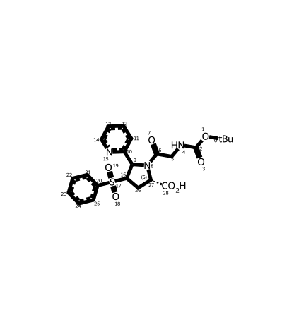 CC(C)(C)OC(=O)NCC(=O)N1C(c2ccccn2)C(S(=O)(=O)c2ccccc2)C[C@H]1C(=O)O